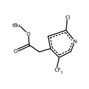 CC(C)(C)OC(=O)Cc1cc(Cl)ncc1C(F)(F)F